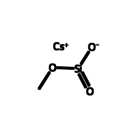 CO[Si](=O)[O-].[Cs+]